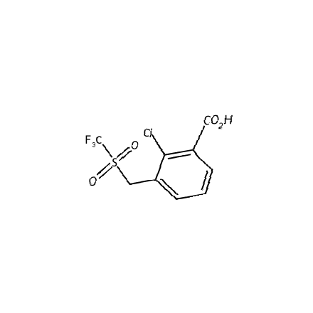 O=C(O)c1cccc(CS(=O)(=O)C(F)(F)F)c1Cl